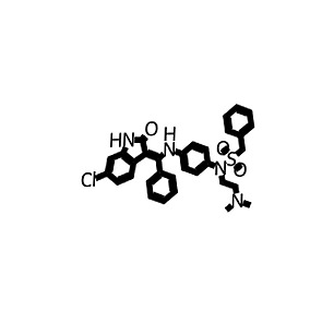 CN(C)CCN(c1ccc(N/C(=C2\C(=O)Nc3cc(Cl)ccc32)c2ccccc2)cc1)S(=O)(=O)Cc1ccccc1